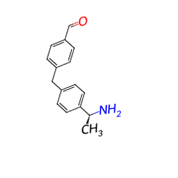 C[C@H](N)c1ccc(Cc2ccc(C=O)cc2)cc1